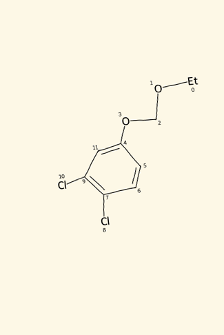 CCOCOc1ccc(Cl)c(Cl)c1